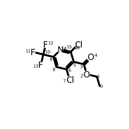 CCOC(=O)c1c(Cl)cc(C(F)(F)F)nc1Cl